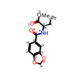 COC(=O)[C@@H](CC(C)C)NC(=O)c1ccc2c(c1)OCO2